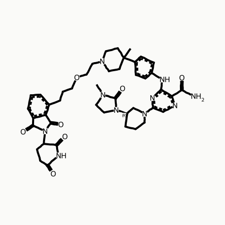 CN1CCN([C@@H]2CCCN(c3cnc(C(N)=O)c(Nc4ccc(C5(C)CCN(CCOCCCc6cccc7c6C(=O)N(C6CCC(=O)NC6=O)C7=O)CC5)cc4)n3)C2)C1=O